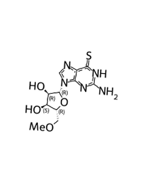 COC[C@H]1O[C@@H](n2cnc3c(=S)[nH]c(N)nc32)[C@H](O)[C@@H]1O